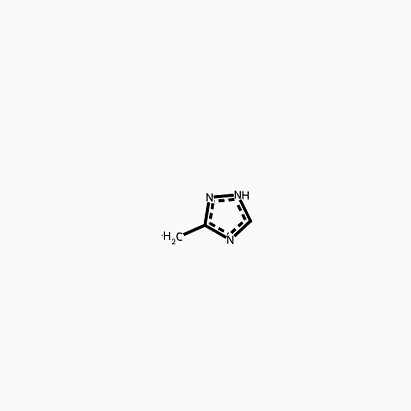 [CH2]c1nc[nH]n1